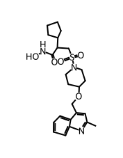 Cc1cc(COC2CCN(S(=O)(=O)CC(C(=O)NO)C3CCCC3)CC2)c2ccccc2n1